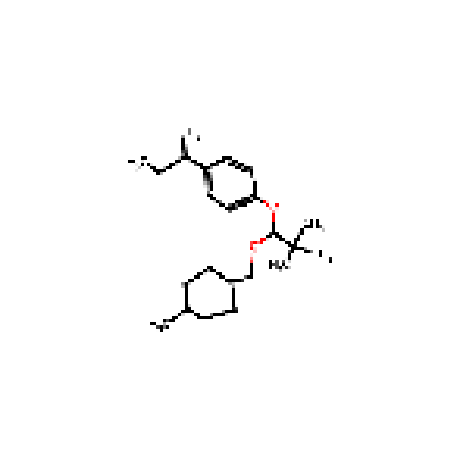 CCC(C)c1ccc(OC(OCC2CCC(C)CC2)C(C)(C)C)cc1